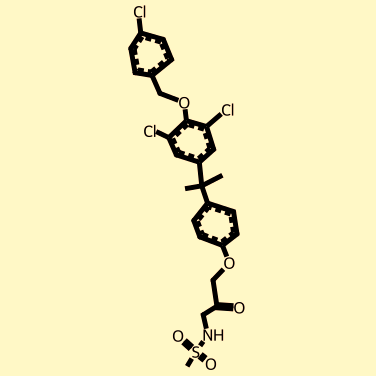 CC(C)(c1ccc(OCC(=O)CNS(C)(=O)=O)cc1)c1cc(Cl)c(OCc2ccc(Cl)cc2)c(Cl)c1